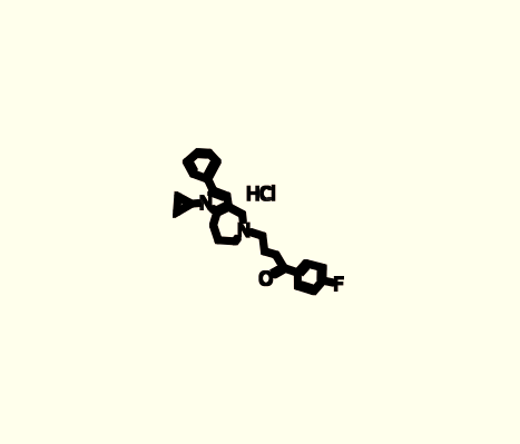 Cl.O=C(CCCN1CCCc2c(cc(-c3ccccc3)n2C2CC2)C1)c1ccc(F)cc1